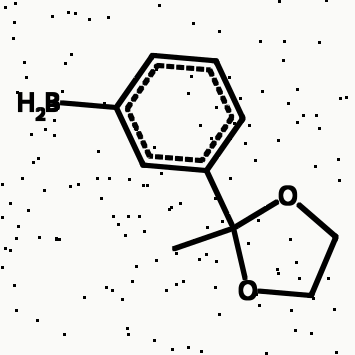 Bc1cccc(C2(C)OCCO2)c1